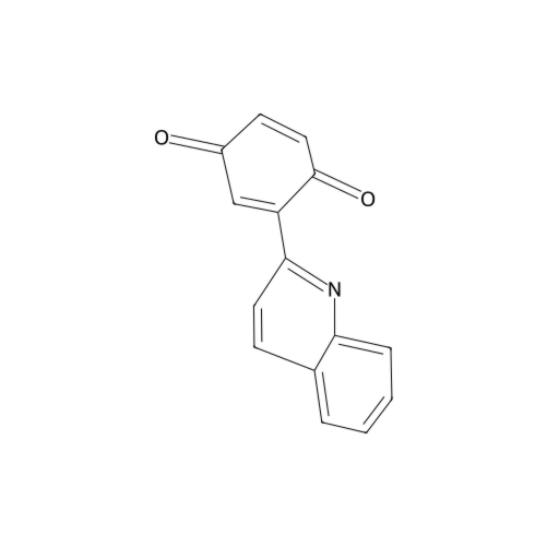 O=C1C=CC(=O)C(c2ccc3ccccc3n2)=C1